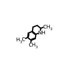 Cc1cc2c(cc1C)NC(C)CC2